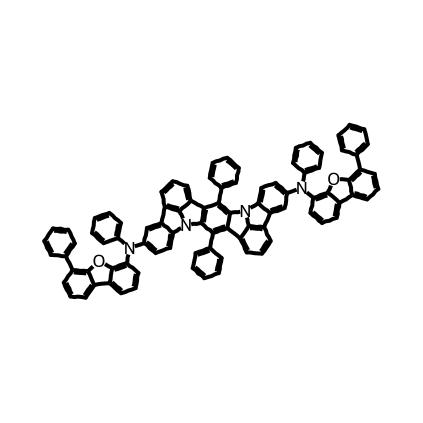 c1ccc(-c2cccc3c2oc2c(N(c4ccccc4)c4ccc5c(c4)c4cccc6c7c(-c8ccccc8)c8c(c(-c9ccccc9)c7n5c46)c4cccc5c6cc(N(c7ccccc7)c7cccc9c7oc7c(-c%10ccccc%10)cccc79)ccc6n8c54)cccc23)cc1